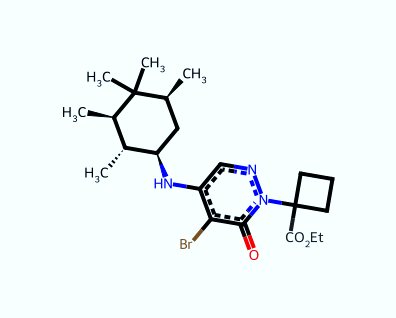 CCOC(=O)C1(n2ncc(N[C@@H]3C[C@H](C)C(C)(C)[C@H](C)[C@H]3C)c(Br)c2=O)CCC1